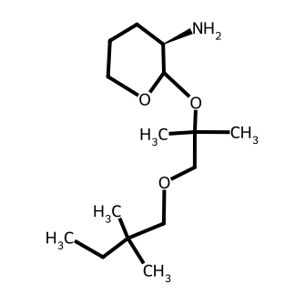 CCC(C)(C)COCC(C)(C)OC1OCCC[C@H]1N